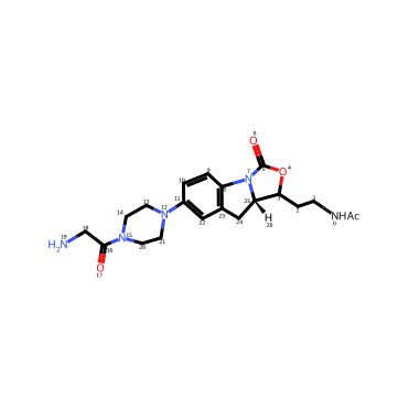 CC(=O)NCCC1OC(=O)N2c3ccc(N4CCN(C(=O)CN)CC4)cc3C[C@@H]12